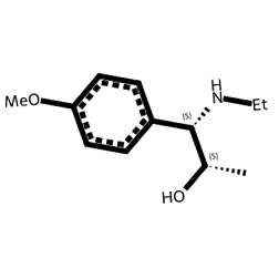 CCN[C@@H](c1ccc(OC)cc1)[C@H](C)O